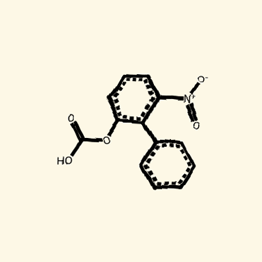 O=C(O)Oc1cccc([N+](=O)[O-])c1-c1ccccc1